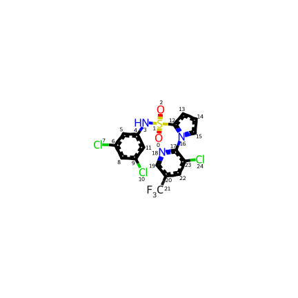 O=S(=O)(Nc1cc(Cl)cc(Cl)c1)c1cccn1-c1ncc(C(F)(F)F)cc1Cl